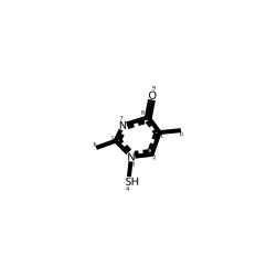 Cc1cn(S)c(C)nc1=O